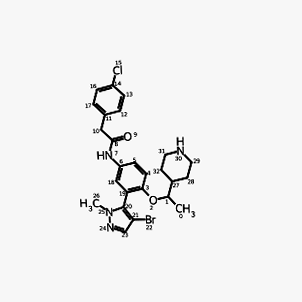 CC(Oc1ccc(NC(=O)Cc2ccc(Cl)cc2)cc1-c1c(Br)cnn1C)C1CCNCC1